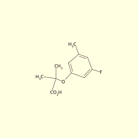 Cc1cc(F)cc(OC(C)(C)C(=O)O)c1